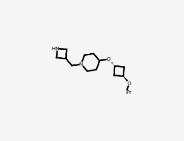 CC(C)O[C@H]1C[C@H](OC2CCN(CC3CNC3)CC2)C1